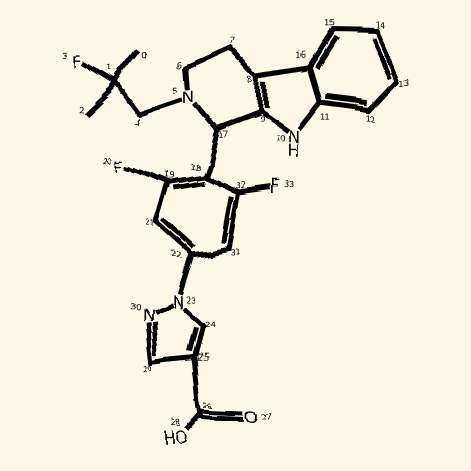 CC(C)(F)CN1CCc2c([nH]c3ccccc23)C1c1c(F)cc(-n2cc(C(=O)O)cn2)cc1F